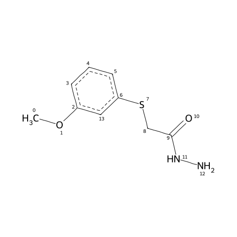 COc1cccc(SCC(=O)NN)c1